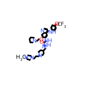 CN1CCN(CCCN2CCC(/C=N/NC(=O)Nc3cc4c(Nc5ccc(OC(F)(F)F)cc5)ccnc4cc3OCCN3CCCCC3)CC2)CC1